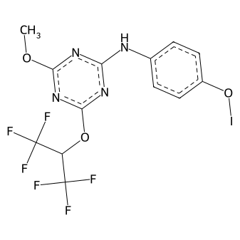 COc1nc(Nc2ccc(OI)cc2)nc(OC(C(F)(F)F)C(F)(F)F)n1